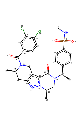 CNS(=O)(=O)c1ccc([C@@H](C)N2C[C@@H](C)n3nc4c(c3C2=O)CN(C(=O)c2ccc(Cl)c(Cl)c2)[C@H](C)C4)cc1